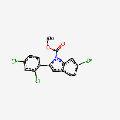 CC(C)(C)OC(=O)n1c(-c2ccc(Cl)cc2Cl)cc2ccc(Br)cc21